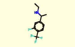 CCNC(C)c1ccc(C(F)(F)F)c(F)c1